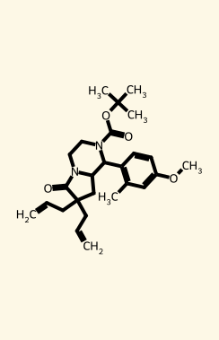 C=CCC1(CC=C)CC2C(c3ccc(OC)cc3C)N(C(=O)OC(C)(C)C)CCN2C1=O